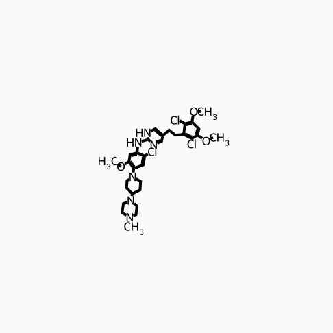 COc1cc(NC2N=CC(CCc3c(Cl)c(OC)cc(OC)c3Cl)=CN2)c(Cl)cc1N1CCC(N2CCN(C)CC2)CC1